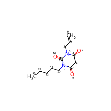 C=CCN1C(=O)CC(=O)N(CCCCC)C1=O